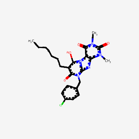 CCCCCCc1c(O)n2c3c(=O)n(C)c(=O)n(C)c3nc2n(Cc2ccc(Cl)cc2)c1=O